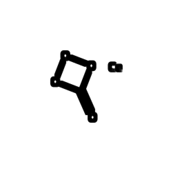 O=c1ooo1.[Ce]